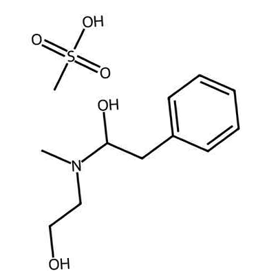 CN(CCO)C(O)Cc1ccccc1.CS(=O)(=O)O